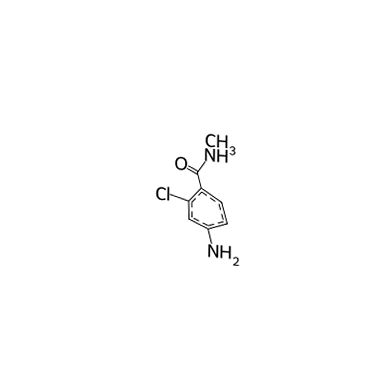 CNC(=O)c1ccc(N)cc1Cl